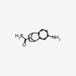 BC(=O)N1C2CCC1c1cc(N)ccc12